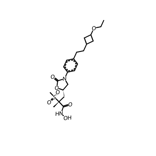 CCOC1CC(CCc2ccc(N3C[C@H](C[C@](C)(C(=O)NO)S(C)(=O)=O)OC3=O)cc2)C1